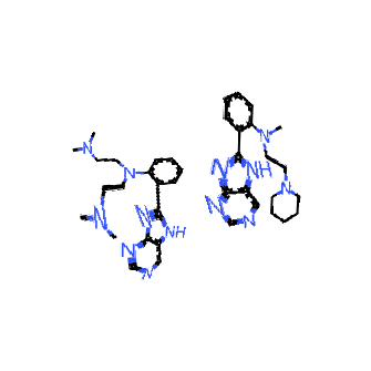 CN(C)CCN(CCN(C)C)c1ccccc1-c1nc2ncncc2[nH]1.CN(CCN1CCCCC1)c1ccccc1-c1nc2ncncc2[nH]1